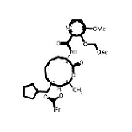 COc1ccnc(C(=O)N[C@H]2CCCC[C@H](CC3CCCC3)[C@@H](OC(=O)C(C)C)[C@H](C)OC2=O)c1OCOC(C)=O